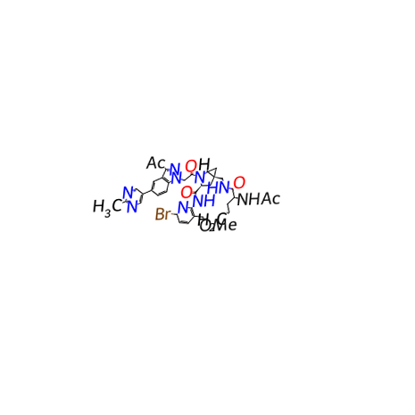 C=CC[C@H](NC(C)=O)C(=O)NC[C@@]12C[C@@H](C(=O)Nc3nc(Br)ccc3COC)N(C(=O)Cn3nc(C(C)=O)c4cc(-c5cnc(C)nc5)ccc43)[C@@H]1C2